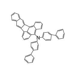 c1ccc(-c2ccc(N(c3ccc(-c4ccccc4)cc3)c3c4ccccc4c4c5c(cccc35)-c3cc5ccccc5cc3-4)cc2)cc1